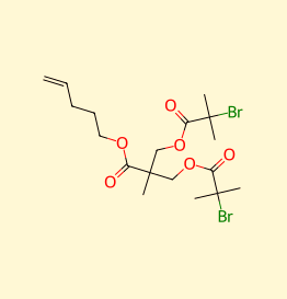 C=CCCCOC(=O)C(C)(COC(=O)C(C)(C)Br)COC(=O)C(C)(C)Br